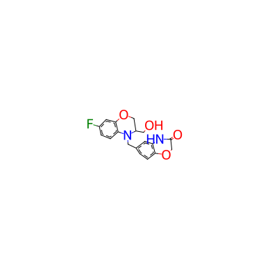 O=C1COc2ccc(CN3c4ccc(F)cc4OCC3CO)cc2N1